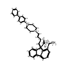 NC(=O)c1cccc2c1C(CCCCN1CCN(c3ccc(-c4ccccc4)cc3)CC1)(C(=O)O)c1ccccc1-2